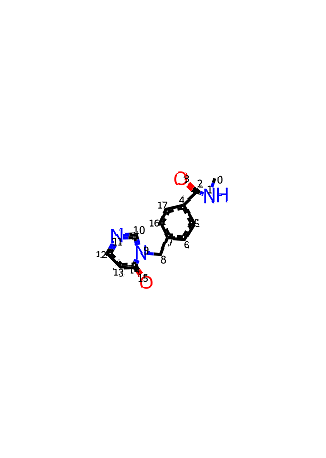 CNC(=O)c1ccc(Cn2cnccc2=O)cc1